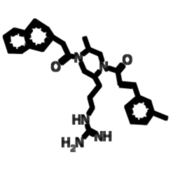 Cc1cccc(/C=C/C(=O)N2CC(C)N(C(=O)Cc3ccc4ccccc4c3)CC2CCCNC(=N)N)c1